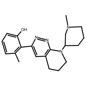 Cc1cccc(O)c1-c1cc2c(nn1)N(C1CCCN(C)C1)CCC2